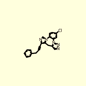 Clc1ccc2c(c1)-n1nncc1Cc1c(C#CCc3ccccc3)ncn1-2